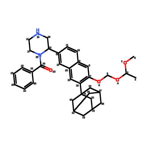 COC(C)OCOc1cc2ccc(C3CNCCN3C(=O)c3ccccc3)cc2cc1C12CC3CC(CC(C3)C1)C2